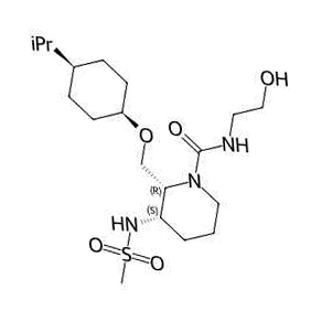 CC(C)[C@H]1CC[C@@H](OC[C@H]2[C@@H](NS(C)(=O)=O)CCCN2C(=O)NCCO)CC1